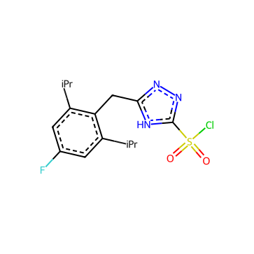 CC(C)c1cc(F)cc(C(C)C)c1Cc1nnc(S(=O)(=O)Cl)[nH]1